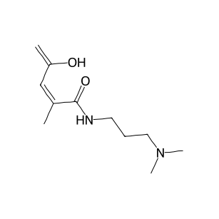 C=C(O)C=C(C)C(=O)NCCCN(C)C